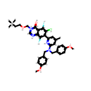 COc1ccc(CN(Cc2ccc(OC)cc2)c2cc(C)cc(-c3c(Cl)c(F)c4c(=O)n(COCC[Si](C)(C)C)cnc4c3F)n2)cc1